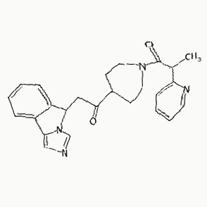 C[C](C(=O)N1CCC(C(=O)CC2c3ccccc3-c3cncn32)CC1)c1ccccn1